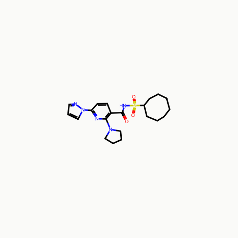 O=C(NS(=O)(=O)C1CCCCCCC1)c1ccc(-n2cccn2)nc1N1CCCC1